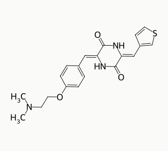 CN(C)CCOc1ccc(/C=c2\[nH]c(=O)/c(=C/c3ccsc3)[nH]c2=O)cc1